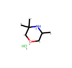 CC1COCC(C)(C)N1.Cl